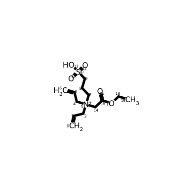 C=CC[N+](CC=C)(CCCS(=O)(=O)O)CC(=O)OCC